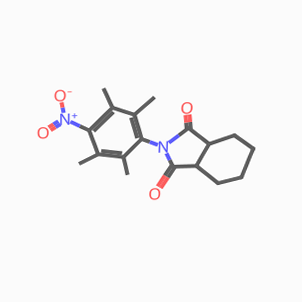 Cc1c(C)c([N+](=O)[O-])c(C)c(C)c1N1C(=O)C2CCCCC2C1=O